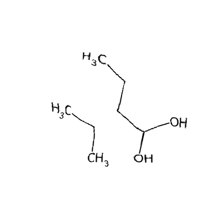 CCC.CCCC(O)O